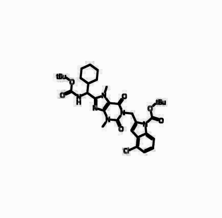 Cn1c(C(NC(=O)OC(C)(C)C)C2CCCCC2)nc2c1c(=O)n(Cc1cc3c(Cl)cccc3n1C(=O)OC(C)(C)C)c(=O)n2C